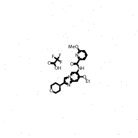 CCOc1cc2nc(C3CCOCC3)cn2cc1NC(=O)c1cccc(OC)n1.O=C(O)C(F)(F)F